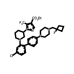 CCOC(=O)c1cnn(C2CCCN(c3cc(Cl)ccc3-c3ccc(N4CCN(CC5(F)CCC5)CC4)cc3)C2)c1C(F)(F)F